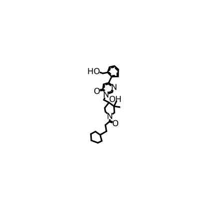 CC1(C)CN(C(=O)CCC2CCCCC2)CCC1(O)Cn1cnc(-c2ccccc2CO)cc1=O